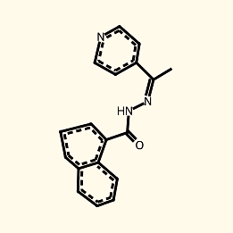 CC(=NNC(=O)c1cccc2ccccc12)c1ccncc1